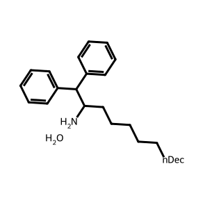 CCCCCCCCCCCCCCCC(N)C(c1ccccc1)c1ccccc1.O